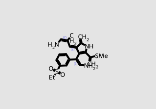 C=C(SC)c1[nH]c(=C)/c(=C\C(C)=C/N)c1/C(=C\N)c1cccc(S(=O)(=O)CC)c1